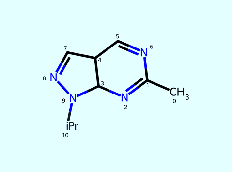 CC1=NC2C(C=N1)C=NN2C(C)C